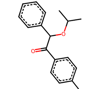 Cc1ccc(C(=O)C(OC(C)C)c2ccccc2)cc1